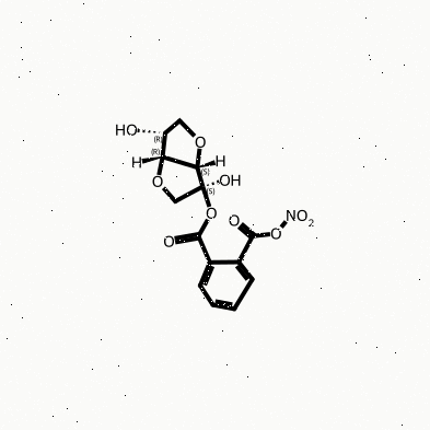 O=C(O[N+](=O)[O-])c1ccccc1C(=O)O[C@@]1(O)CO[C@@H]2[C@H](O)CO[C@@H]21